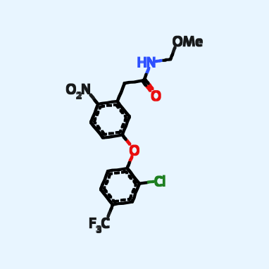 COCNC(=O)Cc1cc(Oc2ccc(C(F)(F)F)cc2Cl)ccc1[N+](=O)[O-]